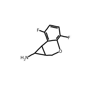 NC1C2COc3c(F)ccc(F)c3C12